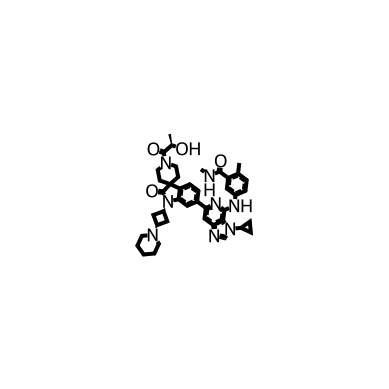 CNC(=O)c1cc(Nc2nc(-c3ccc4c(c3)N([C@H]3C[C@@H](N5CCCCC5)C3)C(=O)C43CCN(C(=O)[C@@H](C)O)CC3)cc3ncn(C4CC4)c23)ccc1C